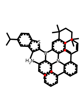 Cc1cc(N)c2c(c1)N(c1c(C3=CCCC=C3)cccc1-c1ccccc1)c1cc3c(cc1B2c1sc2ccc(C(C)C)cc2c1C)C(C)(C)CCC3(C)C